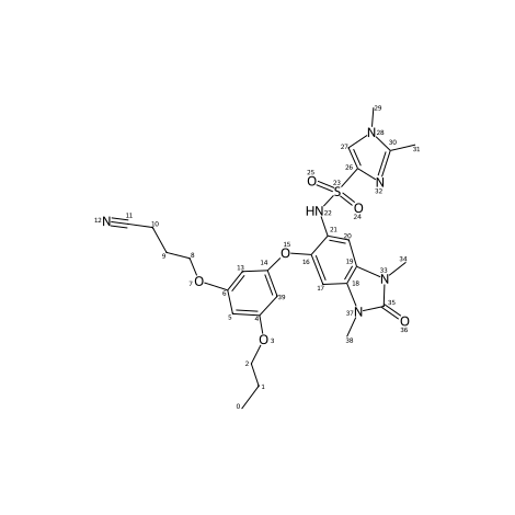 CCCOc1cc(OCCCC#N)cc(Oc2cc3c(cc2NS(=O)(=O)c2cn(C)c(C)n2)n(C)c(=O)n3C)c1